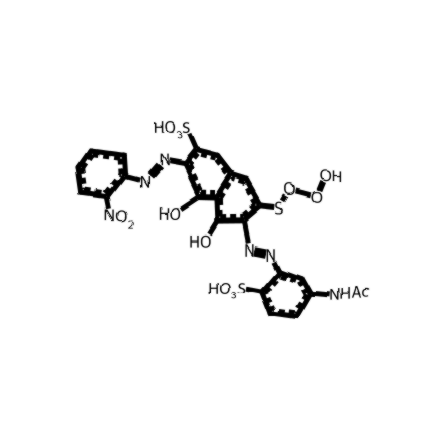 CC(=O)Nc1ccc(S(=O)(=O)O)c(/N=N/c2c(SOOO)cc3cc(S(=O)(=O)O)c(/N=N/c4ccccc4[N+](=O)[O-])c(O)c3c2O)c1